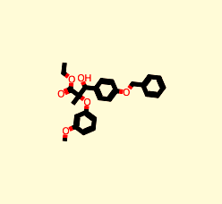 CCOC(=O)C(C)(Oc1cccc(OC)c1)C(O)c1ccc(OCc2ccccc2)cc1